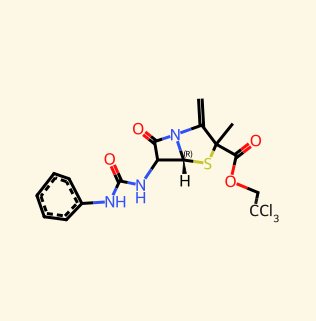 C=C1N2C(=O)C(NC(=O)Nc3ccccc3)[C@H]2SC1(C)C(=O)OCC(Cl)(Cl)Cl